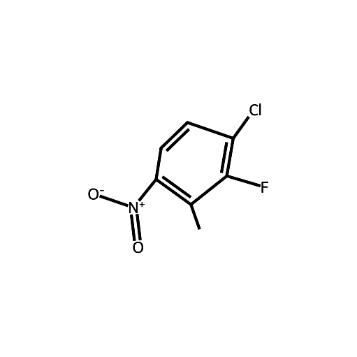 Cc1c([N+](=O)[O-])ccc(Cl)c1F